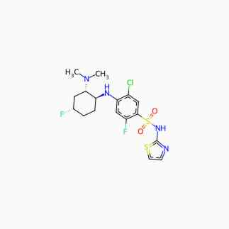 CN(C)[C@H]1C[C@@H](F)CC[C@@H]1Nc1cc(F)c(S(=O)(=O)Nc2nccs2)cc1Cl